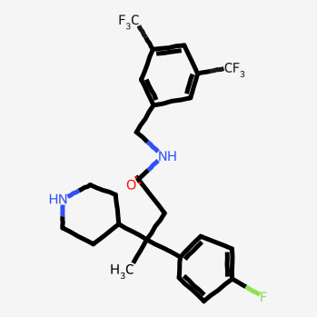 CC(CC(=O)NCc1cc(C(F)(F)F)cc(C(F)(F)F)c1)(c1ccc(F)cc1)C1CCNCC1